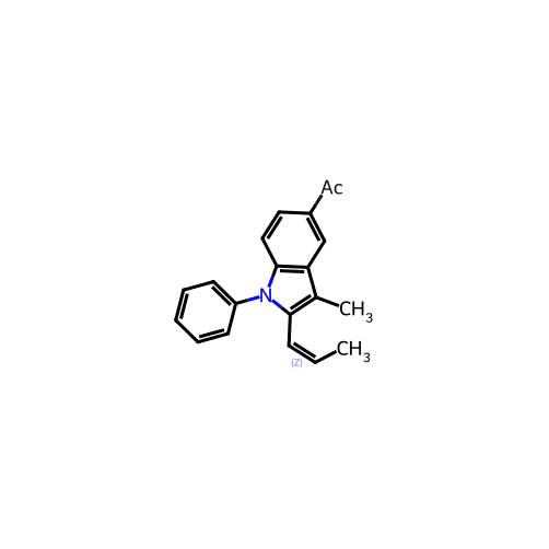 C/C=C\c1c(C)c2cc(C(C)=O)ccc2n1-c1ccccc1